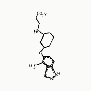 Cc1c(O[C@@H]2CCC[C@H](NCCC(=O)O)C2)ccc2[nH]ncc12